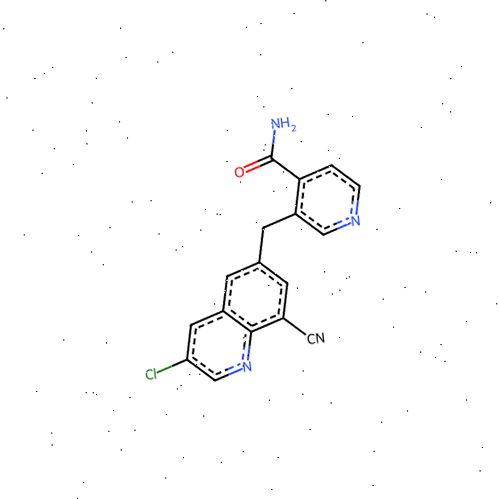 N#Cc1cc(Cc2cnccc2C(N)=O)cc2cc(Cl)cnc12